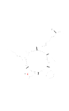 CCCCCC[C@H]1O[C@@H](C)NC(=O)[C@H](CCCCCNC(=N)N)NC(=O)[C@H](CN)NC(=O)[C@H](C2CCCCC2)NC(=O)[C@H](CC(C)C)N(C)C(=O)[C@@H]1C